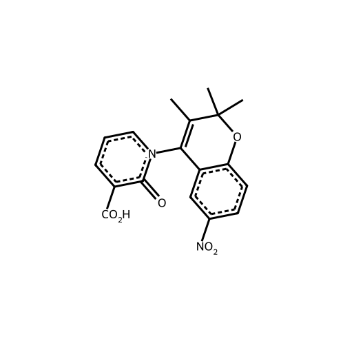 CC1=C(n2cccc(C(=O)O)c2=O)c2cc([N+](=O)[O-])ccc2OC1(C)C